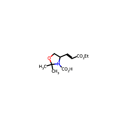 CCOC(=O)/C=C/C1COC(C)(C)N1C(=O)O